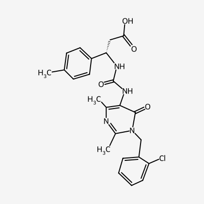 Cc1ccc([C@H](CC(=O)O)NC(=O)Nc2c(C)nc(C)n(Cc3ccccc3Cl)c2=O)cc1